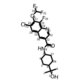 CC(C)(O)C1CCC(NC(=O)c2cnc3c(F)c(OC(F)F)c(Cl)cc3c2)CC1